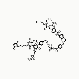 CCCN(CCC)C(=O)C1=Cc2ccc(C(=O)Nc3cnc4c(c3)CN(Cc3ccc(C(=O)NCC(F)(F)CNCOCc5ccc(NC(=O)[C@H](CCCNC(N)=O)NC(=O)[C@@H](NC(=O)CCCCCN6C(=O)C=CC6=O)C(C)C)cc5)cc3)CC4)cc2N=C(N)C1